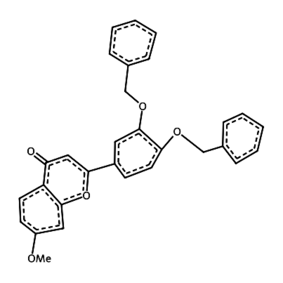 COc1ccc2c(=O)cc(-c3ccc(OCc4ccccc4)c(OCc4ccccc4)c3)oc2c1